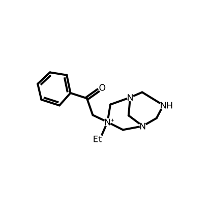 CC[N+]1(CC(=O)c2ccccc2)CN2CNCN(C2)C1